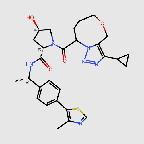 Cc1ncsc1-c1ccc([C@H](C)NC(=O)[C@@H]2C[C@@H](O)CN2C(=O)C2CCCOCc3c(C4CC4)nnn32)cc1